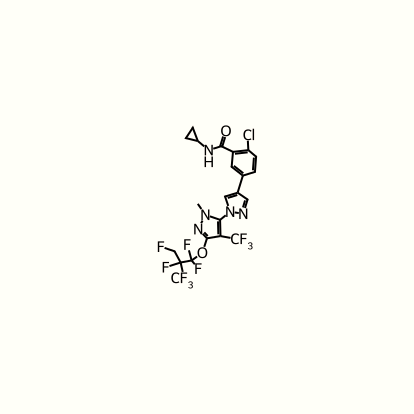 Cn1nc(OC(F)(F)C(F)(CF)C(F)(F)F)c(C(F)(F)F)c1-n1cc(-c2ccc(Cl)c(C(=O)NC3CC3)c2)cn1